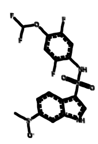 C[S+]([O-])c1ccc2c(S(=O)(=O)Nc3cc(F)c(OC(F)F)cc3F)c[nH]c2c1